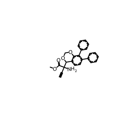 C#CC(N)(C(=O)OC)C1OCOc2c1ccc(-c1ccccc1)c2-c1ccccc1